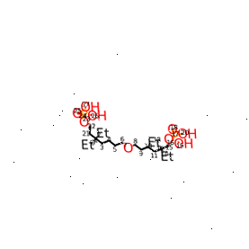 CCC(CC)(CCCCOCCCCC(CC)(CC)COP(=O)(O)O)CCOP(=O)(O)O